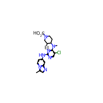 CCC1CN(C(=O)O)CCC1N(C)c1nc(Nc2ccn3c(C)cnc3c2)ncc1Cl